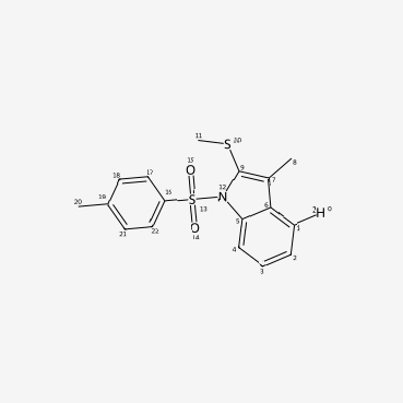 [2H]c1cccc2c1c(C)c(SC)n2S(=O)(=O)c1ccc(C)cc1